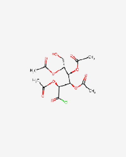 CC(=O)O[C@H]([C@H](OC(C)=O)[C@@H](CO)OC(C)=O)[C@H](OC(C)=O)C(=O)Cl